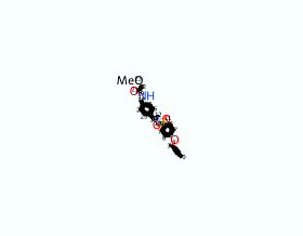 CC#CCOc1ccc(S(=O)(=O)/C=C/c2ccc(CNC(=O)COC)cc2)cc1